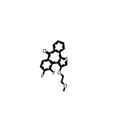 COCCOc1csc2c3ccccc3c(=O)c3ccc(F)c(F)c3c12